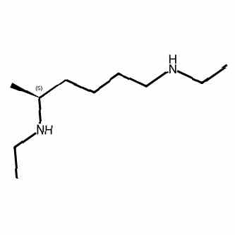 CCNCCCC[C@H](C)NCC